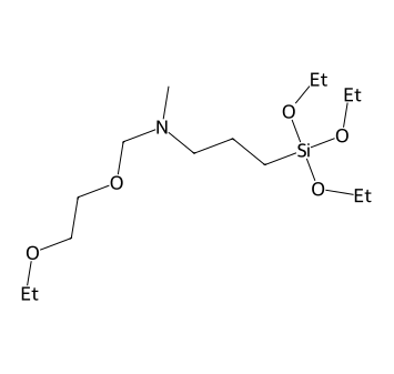 CCOCCOCN(C)CCC[Si](OCC)(OCC)OCC